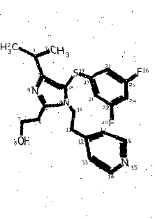 CC(C)c1nc(CCO)n(CCc2ccncc2)c1Sc1cc(F)cc(F)c1